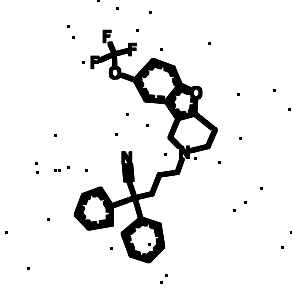 N#CC(CCCN1CCc2oc3ccc(OC(F)(F)F)cc3c2C1)(c1ccccc1)c1ccccc1